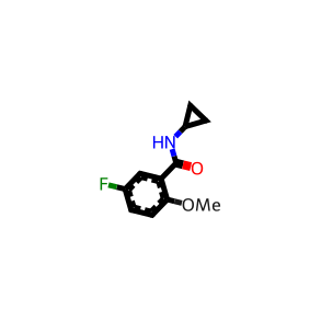 COc1ccc(F)cc1C(=O)NC1CC1